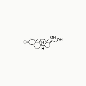 C[C@]12C=CC(=O)C=C1CC[C@@H]1C2=CC[C@]2(C)/C(=C(\O)CO)CC[C@@H]12